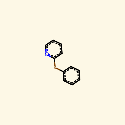 [c]1ccccc1Sc1ccccn1